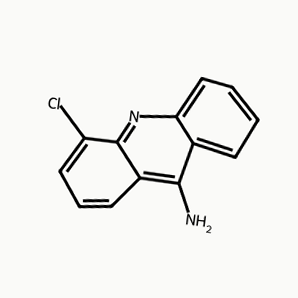 Nc1c2ccccc2nc2c(Cl)cccc12